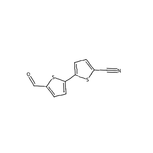 N#Cc1ccc(-c2ccc(C=O)s2)s1